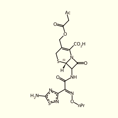 CCCON=C(C(=O)NC1C(=O)N2C(C(=O)O)=C(COC(=O)CC(C)=O)CS[C@@H]12)c1nsc(N)n1